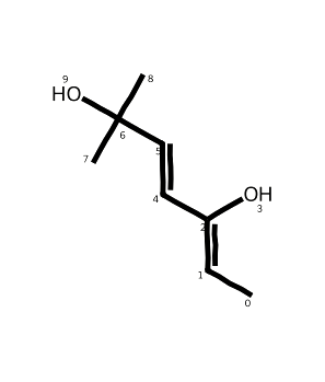 CC=C(O)C=CC(C)(C)O